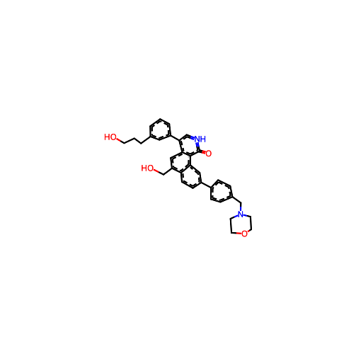 O=c1[nH]cc(-c2cccc(CCCO)c2)c2cc(CO)c3ccc(-c4ccc(CN5CCOCC5)cc4)cc3c12